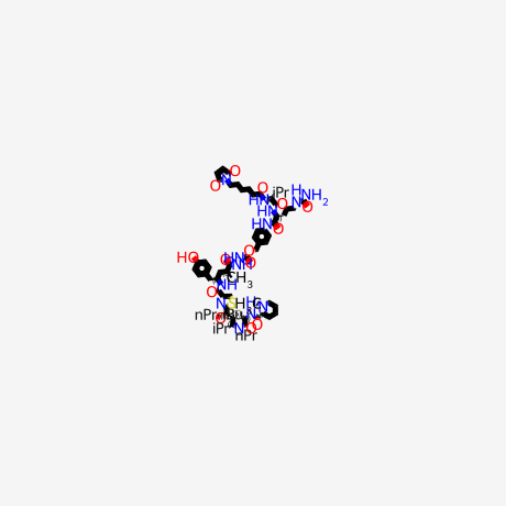 CCCO[C@H](C[C@H](C(C)C)N(CCC)C(=O)[C@@H](NC(=O)[C@H]1CCCCN1C)[C@@H](C)CC)C1=NC(C(=O)N[C@@H](Cc2ccc(O)cc2)C[C@H](C)C(=O)NNC(=O)OCc2ccc(NC(=O)[C@@H](CCCNC(N)=O)NC(=O)[C@H](NC(=O)CCCCCN3C(=O)C=CC3=O)C(C)C)cc2)CS1